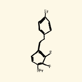 CCCc1ccc(CCc2ccc(CC)cc2)c(F)c1F